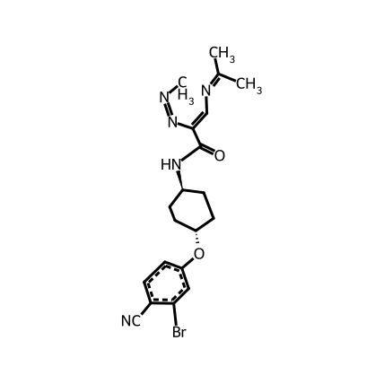 C/N=N\C(=C/N=C(C)C)C(=O)N[C@H]1CC[C@H](Oc2ccc(C#N)c(Br)c2)CC1